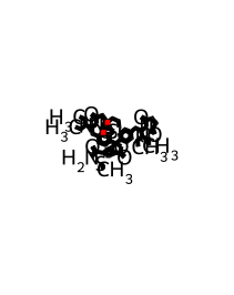 CCN(CC)C(Cc1ccc2c(c1)[Si]1(CCCCC1)c1cc(CC(N(CC)CC)N3C(=O)C=CC3=O)ccc1C21OC(=O)c2cc(SC)c(C(N)=O)cc21)N1C(=O)C=CC1=O